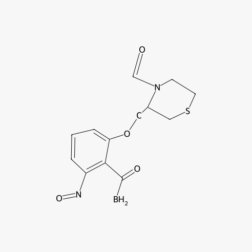 BC(=O)c1c(N=O)cccc1OCC1CSCCN1C=O